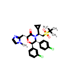 Cn1ccnc1C[C@H]1O[C@H](c2cccc(Cl)c2)[C@@H](c2ccc(Cl)cc2)N([C@H](CS(=O)(=O)C(C)(C)C)C2CC2)C1=O